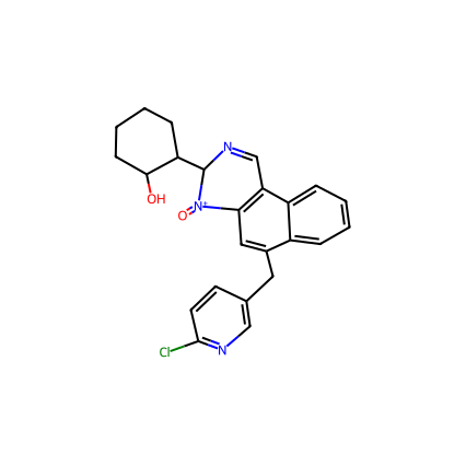 O=[N+]1c2cc(Cc3ccc(Cl)nc3)c3ccccc3c2C=NC1C1CCCCC1O